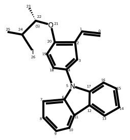 C=Cc1cc(-n2c3ccccc3c3ccccc32)ccc1O[C@@H](C)C(C)I